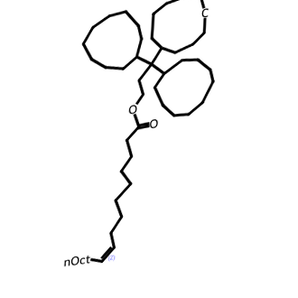 CCCCCCCC/C=C\CCCCCCCC(=O)OCCC(C1CCCCCCCCC1)(C1CCCCCCCCC1)C1CCCCCCCCC1